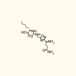 CCCCC[C@H](NC(=O)NCc1nc([C@@H](N)CCC(N)=O)no1)C(=O)O